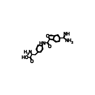 N=C(N)c1ccc2c(C(=O)Nc3ccc(C[C@H](N)C(=O)O)cc3)occ2c1